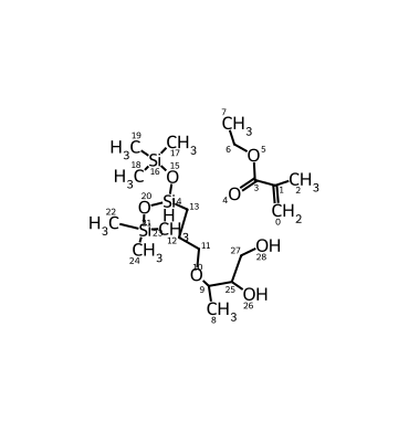 C=C(C)C(=O)OCC.CC(OCCC[SiH](O[Si](C)(C)C)O[Si](C)(C)C)C(O)CO